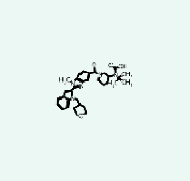 Cn1c(-c2cc3ccccc3n2CC2CCOCC2)nc2cc(C(=O)N3CCCC(N(C(=O)O)C(C)(C)C)C3)ccc21